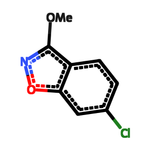 [CH2]Oc1noc2cc(Cl)ccc12